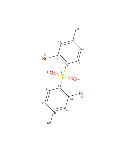 Cc1ccc(S(=O)(=O)c2ccc(C)cc2Br)c(Br)c1